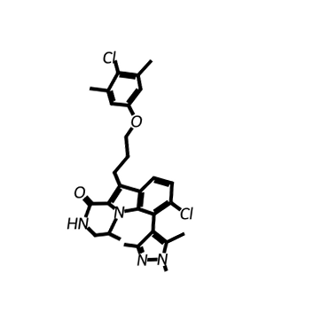 Cc1cc(OCCCc2c3n(c4c(-c5c(C)nn(C)c5C)c(Cl)ccc24)C(C)CNC3=O)cc(C)c1Cl